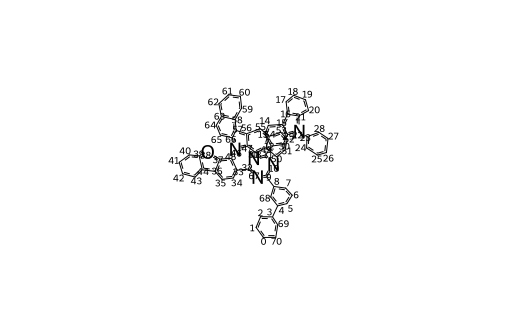 c1ccc(-c2cccc(-c3nc(-c4ccc5c6ccccc6n(-c6ccccc6)c5c4)nc(-c4ccc5c(oc6ccccc65)c4-n4c5cc6ccccc6cc5c5c6ccccc6ccc54)n3)c2)cc1